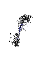 CC(=O)O[C@H]1CC(C)(C)C(=C=C/C(C)=C/C=C/C(C)=C/C=C/C=C(C)/C=C/C=C(\C)C(=O)C[C@@]23C[C@]2(C)C[C@@H](O)CC3(C)C)[C@](C)(O)C1